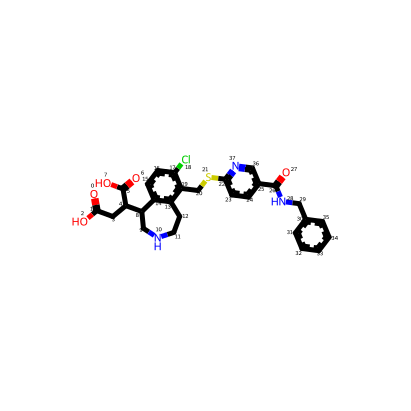 O=C(O)CC(C(=O)O)C1CNCCc2c1ccc(Cl)c2CSc1ccc(C(=O)NCc2ccccc2)cn1